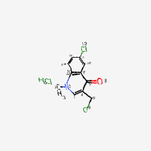 Cl.Cn1cc(CCl)c(=O)c2cc(Cl)ccc21